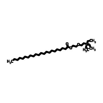 CCCCCCCCCCCCCCCCCCCCCC(=O)OCCOCC[N+](CC)(CC)CC